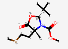 COC(=O)N1[C@@H](C(C)(C)C)OC(=O)[C@@]1(C)CCSC